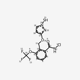 O=C(NCl)c1cccc(OC(F)(F)F)c1COc1ccn(S)n1